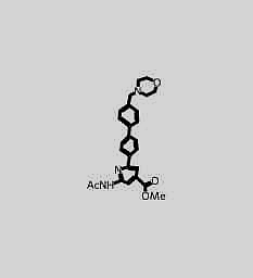 COC(=O)c1cc(NC(C)=O)nc(-c2ccc(-c3ccc(CN4CCOCC4)cc3)cc2)c1